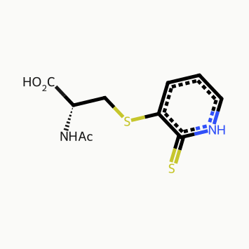 CC(=O)N[C@@H](CSc1ccc[nH]c1=S)C(=O)O